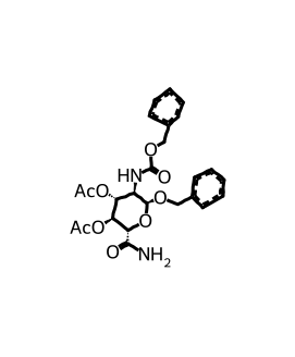 CC(=O)O[C@@H]1[C@@H](NC(=O)OCc2ccccc2)[C@@H](OCc2ccccc2)O[C@H](C(N)=O)[C@H]1OC(C)=O